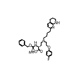 COC(=O)[C@H](CCN(CCCCc1ccc2c(n1)NCCC2)CCOc1ccc(F)cc1)NC(=O)OCc1ccccc1